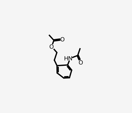 CC(=O)Nc1ccccc1CCOC(C)=O